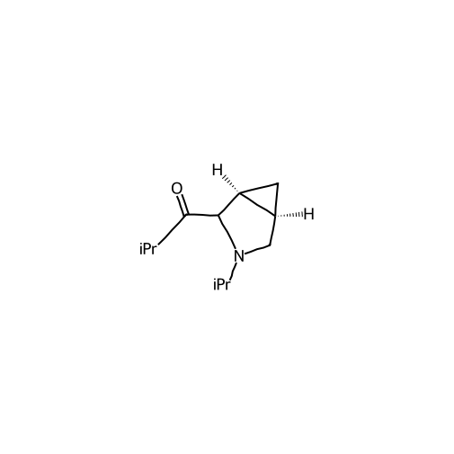 CC(C)C(=O)C1[C@H]2C[C@H]2CN1C(C)C